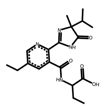 CCc1cnc(C2=NC(C)(C(C)C)C(=O)N2)c(C(=O)NC(CC)C(=O)O)c1